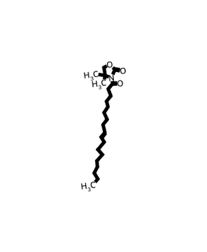 CCCCCCCC/C=C/CCCCCCCC(=O)N1C(=O)OCC1(C)C